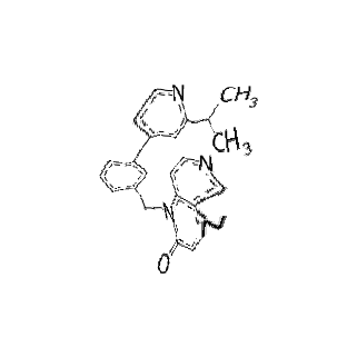 CC(C)c1cc(-c2cccc(Cn3c(=O)cnc4cnccc43)c2)ccn1